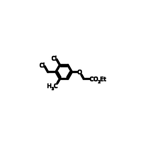 CCOC(=O)COc1cc(C)c(CCl)c(Cl)c1